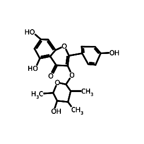 CC1OC(Oc2c(-c3ccc(O)cc3)oc3cc(O)cc(O)c3c2=O)C(C)C(C)C1O